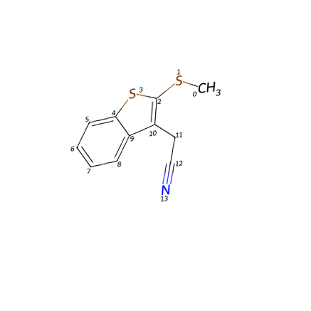 CSc1sc2ccccc2c1CC#N